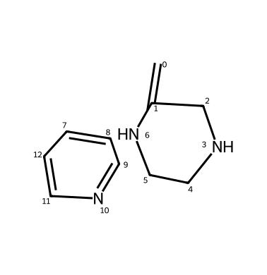 C=C1CNCCN1.c1ccncc1